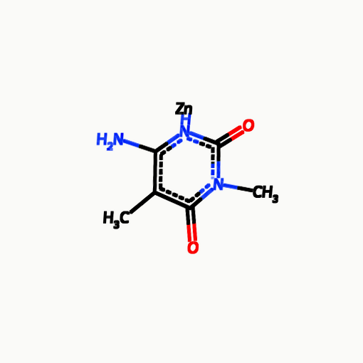 Cc1c(N)[nH]c(=O)n(C)c1=O.[Zn]